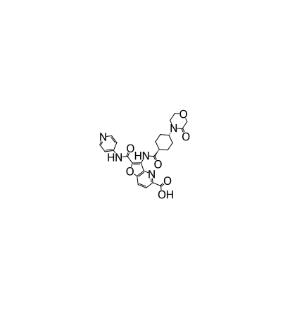 O=C(O)c1ccc2oc(C(=O)Nc3ccncc3)c(NC(=O)[C@H]3CC[C@H](N4CCOCC4=O)CC3)c2n1